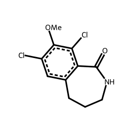 COc1c(Cl)cc2c(c1Cl)C(=O)NCCC2